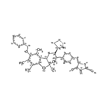 Cc1c(C)c2c(c(C)c1OCc1ccccc1)C(CC(Oc1ccc(C=C3SC(=O)NC3=O)cc1)[C@H]1CCCN1)C(C)(C)O2